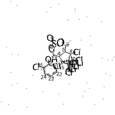 O=S1OCC2C(CO1)C1(Cl)C(Cl)=C(Cl)C2(Cl)C1(Cl)Cl.Oc1ccccc1Cl